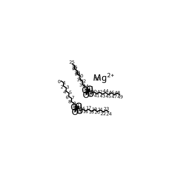 CCCCCCCCCCOP(=O)([O-])OCCCCCCCCCC.CCCCCCCCCCOP(=O)([O-])OCCCCCCCCCC.[Mg+2]